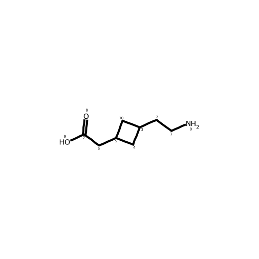 NCCC1CC(CC(=O)O)C1